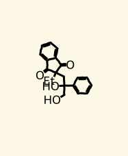 CCC1(CC(O)(CO)c2ccccc2)C(=O)c2ccccc2C1=O